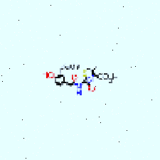 CSCc1cc(CC(=O)NC2C(=O)N3C(C(=O)O)=C(C)CSC23)ccc1O